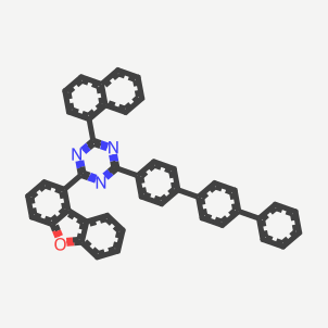 c1ccc(-c2ccc(-c3ccc(-c4nc(-c5cccc6ccccc56)nc(-c5cccc6oc7ccccc7c56)n4)cc3)cc2)cc1